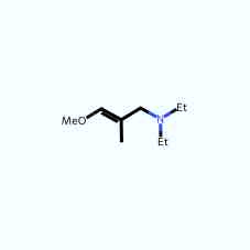 CCN(CC)C/C(C)=C/OC